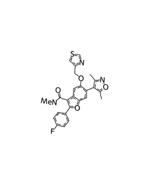 CNC(=O)c1c(-c2ccc(F)cc2)oc2cc(-c3c(C)noc3C)c(OCc3cscn3)cc12